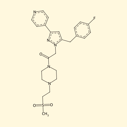 CS(=O)(=O)CCN1CCN(C(=O)Cn2nc(-c3ccncc3)cc2Cc2ccc(F)cc2)CC1